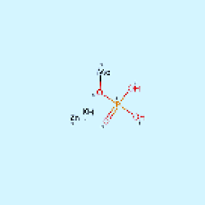 O=P(O)(O)[O][Mo].[KH].[Zn]